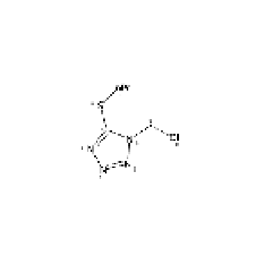 CCCSc1nnnn1CO